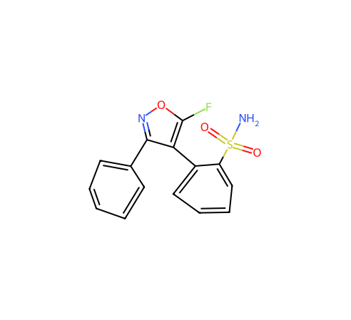 NS(=O)(=O)c1ccccc1-c1c(-c2ccccc2)noc1F